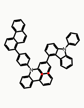 c1ccc(-c2ccccc2N(c2ccc(-c3cccc4c3ccc3ccccc34)cc2)c2cccc(-c3cccc4c3c3ccccc3n4-c3ccccc3)c2)cc1